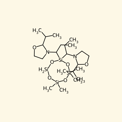 CCC(N1CCOC1C(C)C)[Si]1(C(CC)N2CCOC2C(C)C)O[SiH2]O[Si](C)(C)O[Si](C)(C)O1